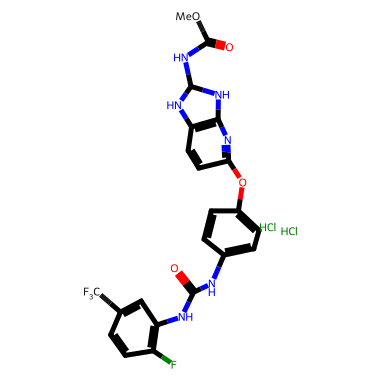 COC(=O)NC1Nc2ccc(Oc3ccc(NC(=O)Nc4cc(C(F)(F)F)ccc4F)cc3)nc2N1.Cl.Cl